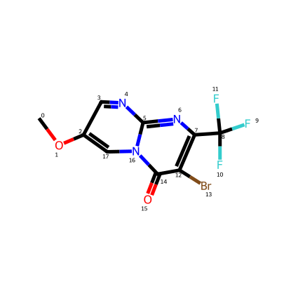 COc1cnc2nc(C(F)(F)F)c(Br)c(=O)n2c1